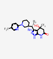 C[C@H](c1n[nH]c2c1C(O)(C(F)(F)F)CC(=O)N2)[C@]1(N)CCCN(c2ccc(C(F)(F)F)cn2)C1